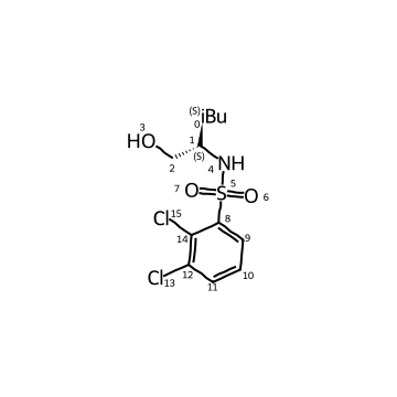 CC[C@H](C)[C@@H](CO)NS(=O)(=O)c1cccc(Cl)c1Cl